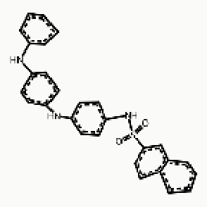 O=S(=O)(Nc1ccc(Nc2ccc(Nc3ccccc3)cc2)cc1)c1ccc2ccccc2c1